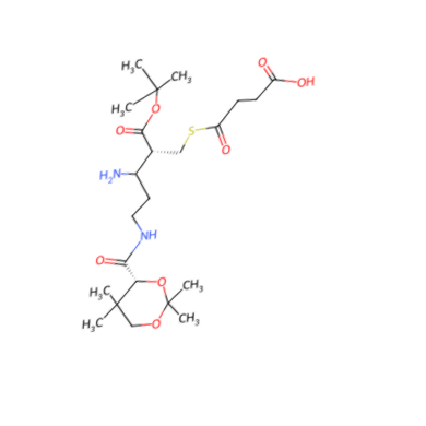 CC(C)(C)OC(=O)[C@H](CSC(=O)CCC(=O)O)C(N)CCNC(=O)[C@@H]1OC(C)(C)OCC1(C)C